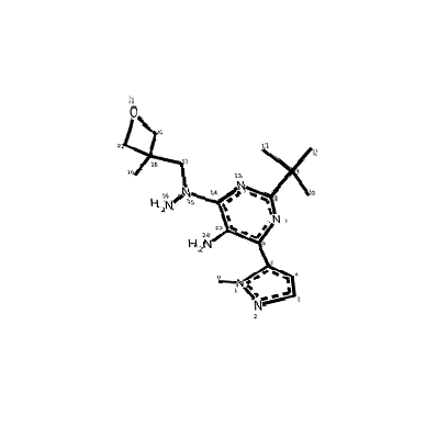 Cn1nccc1-c1nc(C(C)(C)C)nc(N(N)CC2(C)COC2)c1N